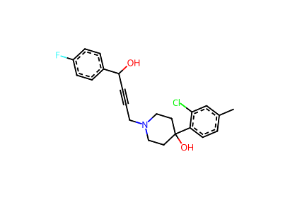 Cc1ccc(C2(O)CCN(CC#CC(O)c3ccc(F)cc3)CC2)c(Cl)c1